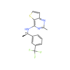 Cc1nc(N[C@H](C)c2cccc(C(F)(F)F)c2)c2sccc2n1